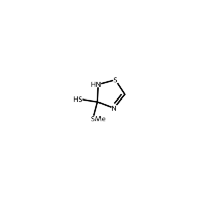 CSC1(S)N=CSN1